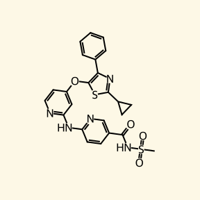 CS(=O)(=O)NC(=O)c1ccc(Nc2cc(Oc3sc(C4CC4)nc3-c3ccccc3)ccn2)nc1